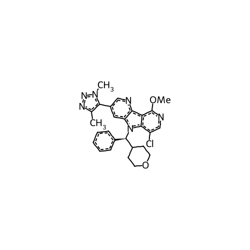 COc1ncc(Cl)c2c1c1ncc(-c3c(C)nnn3C)cc1n2[C@H](c1ccccc1)C1CCOCC1